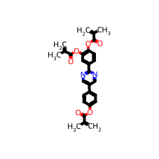 C=C(C)C(=O)Oc1ccc(-c2cnc(-c3ccc(OC(=O)C(=C)C)c(OC(=O)C(=C)C)c3)nc2)cc1